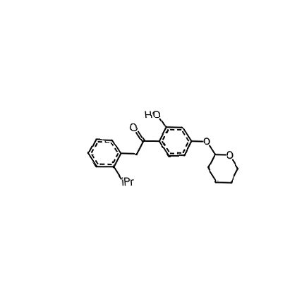 CC(C)c1ccccc1CC(=O)c1ccc(OC2CCCCO2)cc1O